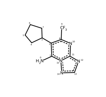 Nc1c(C2CCCC2)c(C(F)(F)F)nc2ncnn12